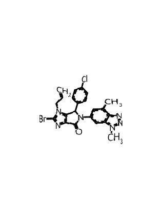 C=CCn1c(Br)nc2c1C(c1ccc(Cl)cc1)N(c1cc(C)c3nnn(C)c3c1)C2=O